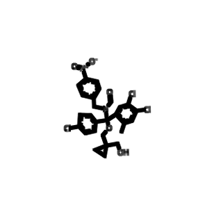 Cc1cc(Cl)c(Cl)cc1C(OCC1(CO)CC1)(c1ccc(Cl)cc1)N(C=O)Cc1ccc([N+](=O)[O-])cc1